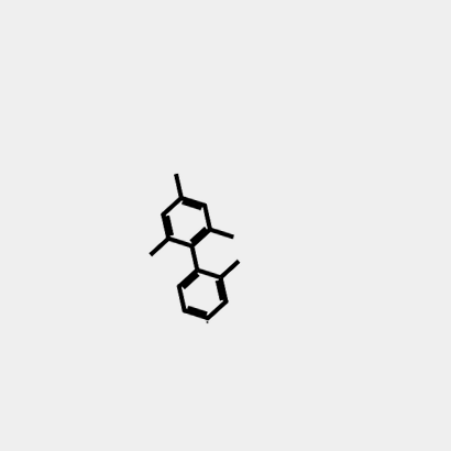 Cc1cc(C)c(-c2cc[c]cc2C)c(C)c1